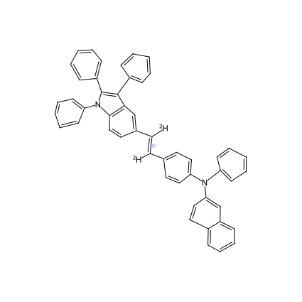 [2H]/C(=C(/[2H])c1ccc2c(c1)c(-c1ccccc1)c(-c1ccccc1)n2-c1ccccc1)c1ccc(N(c2ccccc2)c2ccc3ccccc3c2)cc1